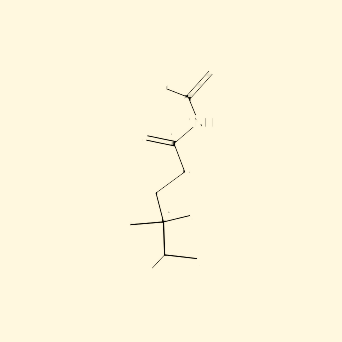 C=C(C)NC(=C)CCC(C)(C)C(C)C